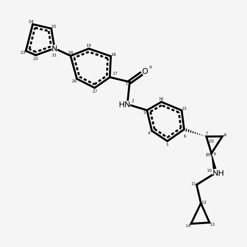 O=C(Nc1ccc([C@@H]2C[C@H]2NCC2CC2)cc1)c1ccc(-n2cccc2)cc1